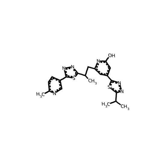 Cc1ccc(-c2nnc(C(C)Cc3cc(-c4nnc(C(C)C)s4)cc(O)n3)s2)cn1